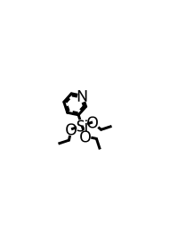 CCO[Si](OCC)(OCC)c1cccnc1